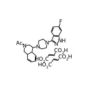 CC(=O)N1CC2C=CC=CC2C(N2CCN(c3n[nH]c4cc(F)ccc34)CC2)C1.O=C(O)/C=C/C(=O)O.O=C(O)/C=C/C(=O)O